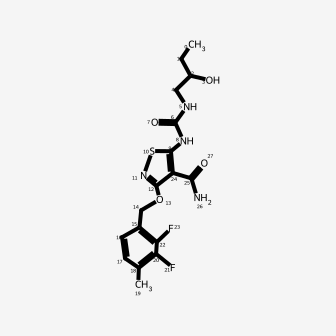 CCC(O)CNC(=O)Nc1snc(OCc2ccc(C)c(F)c2F)c1C(N)=O